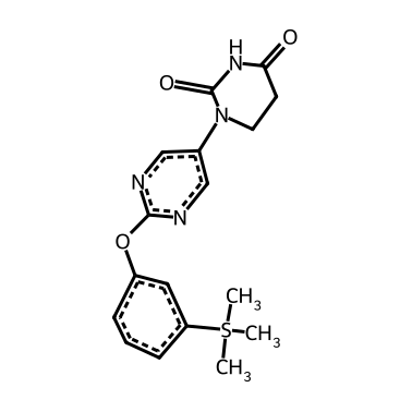 CS(C)(C)c1cccc(Oc2ncc(N3CCC(=O)NC3=O)cn2)c1